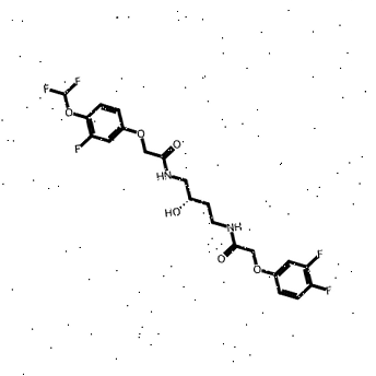 O=C(COc1ccc(F)c(F)c1)NCC[C@H](O)CNC(=O)COc1ccc(OC(F)F)c(F)c1